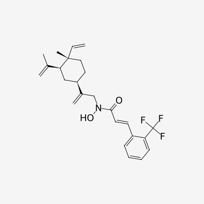 C=C[C@]1(C)CC[C@@H](C(=C)CN(O)C(=O)/C=C/c2ccccc2C(F)(F)F)C[C@H]1C(=C)C